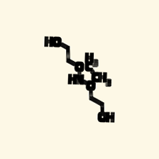 CC.OCCONOCCO